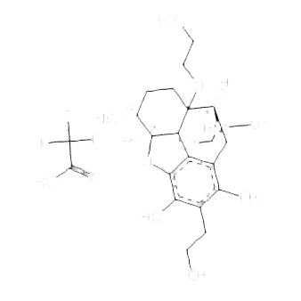 CCCOC12CC[C@@H](O)[C@@H]3Oc4c(O)c(CCC)c(C)c5c4[C@@]31CC[NH+]([O-])[C@@H]2C5.O=C(O)C(F)(F)F